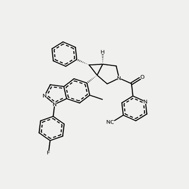 Cc1cc2c(cnn2-c2ccc(F)cc2)cc1[C@@]12CN(C(=O)c3cc(C#N)ccn3)C[C@@H]1[C@H]2c1ccccc1